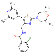 Cc1cc(-c2sc(N3C[C@@H](C)O[C@@H](C)C3)nc2CNC(=O)c2ccccc2F)cc(C)n1